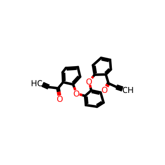 C#CC(=O)c1ccccc1Oc1ccccc1Oc1ccccc1C(=O)C#C